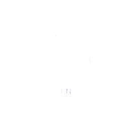 NC(=O)c1cc(Br)c(Cl)cc1F